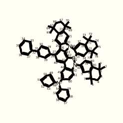 CC1(C)CCC(C)(C)c2cc(N3B4c5cc6c(cc5-n5c7cc8c(cc7c7c(-c9ccc(-c%10ccccc%10)cc9)cc(c4c75)-c4cc(N(c5ccccc5)c5ccccc5)ccc43)C(C)(C)CCC8(C)C)C(C)(C)CCC6(C)C)ccc21